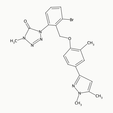 Cc1cc(-c2cc(C)n(C)n2)ccc1OCc1c(Br)cccc1-n1nnn(C)c1=O